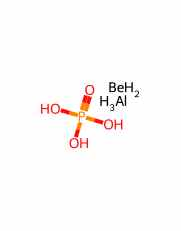 O=P(O)(O)O.[AlH3].[BeH2]